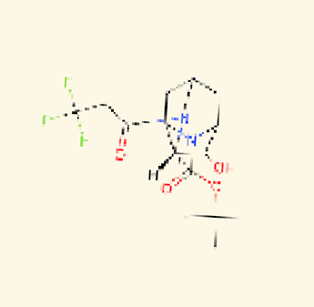 CC(C)(C)OC(=O)N1C2CC3CC1[C@@H](C2O)N(C(=O)CC(F)(F)F)C3